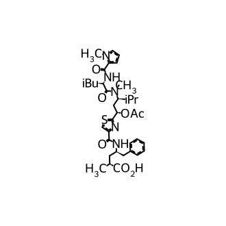 CC[C@H](C)[C@H](NC(=O)c1cccn1C)C(=O)N(C)[C@H](C[C@@H](OC(C)=O)c1nc(C(=O)N[C@@H](Cc2ccccc2)C[C@H](C)C(=O)O)cs1)C(C)C